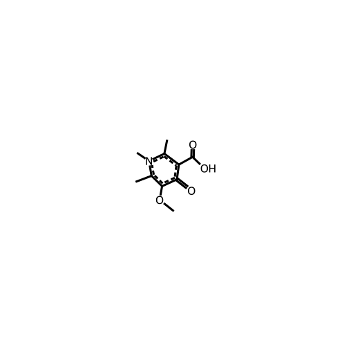 COc1c(C)n(C)c(C)c(C(=O)O)c1=O